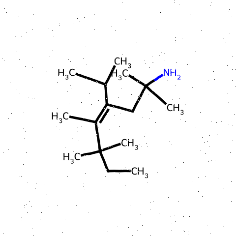 CCC(C)(C)/C(C)=C(\CC(C)(C)N)C(C)C